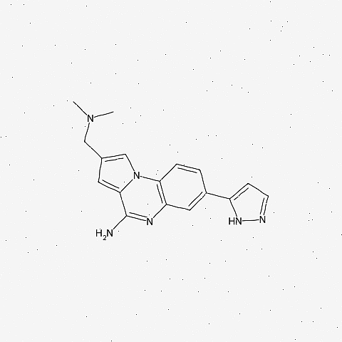 CN(C)Cc1cc2c(N)nc3cc(-c4ccn[nH]4)ccc3n2c1